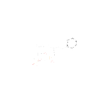 CCOC(=O)C(CCc1ccccc1)CP(=O)(COS(C)(=O)=O)OCC